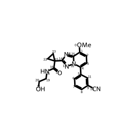 COc1ccc(-c2cccc(C#N)c2)n2nc(C3(C(=O)NCCO)CC3)nc12